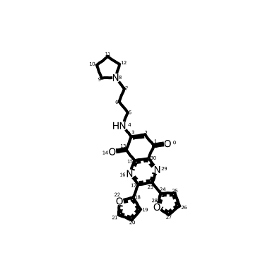 O=C1C=C(NCCCN2CCCC2)C(=O)c2nc(-c3ccco3)c(-c3ccco3)nc21